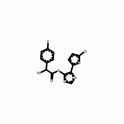 CCC(C(=O)Oc1ocnc1-c1ccc(Cl)s1)c1ccc(F)cc1